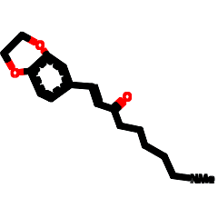 CNCCCCCC(=O)/C=C/c1ccc2c(c1)OCCO2